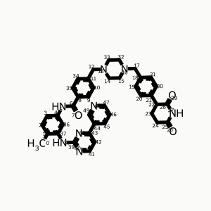 Cc1ccc(NC(=O)c2ccc(CN3CCN(Cc4ccc(C5CCC(=O)NC5=O)cc4)CC3)cc2)cc1Nc1nccc(-c2cccnc2)n1